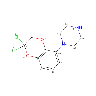 ClC1(Cl)COc2c(cccc2N2CCNCC2)O1